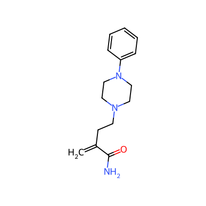 C=C(CCN1CCN(c2ccccc2)CC1)C(N)=O